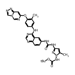 Cc1cc(Nc2ncnc3ccc(NC(=O)Nc4cc(C)n(NC(=O)OC(C)(C)C)n4)cc23)ccc1Oc1cc2nncn2cn1